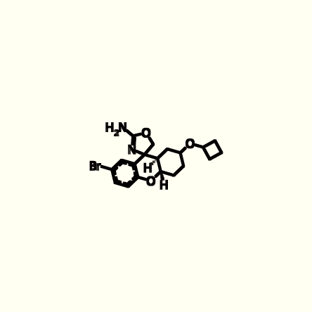 NC1=NC2(CO1)c1cc(Br)ccc1O[C@H]1CCC(OC3CCC3)C[C@@H]12